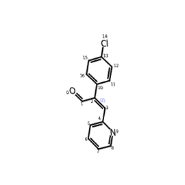 O=C/C(=C\c1ccccn1)c1ccc(Cl)cc1